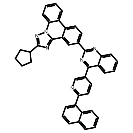 c1ccc2c(-c3ccc(-c4nc(-c5ccc6c7ccccc7n7nc(C8CCCC8)nc7c6c5)nc5ccccc45)cn3)cccc2c1